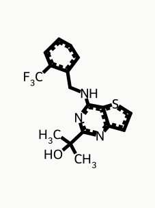 CC(C)(O)c1nc(NCc2ccccc2C(F)(F)F)c2sccc2n1